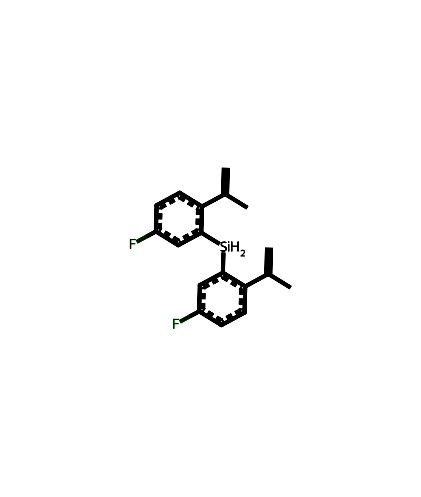 C=C(C)c1ccc(F)cc1[SiH2]c1cc(F)ccc1C(=C)C